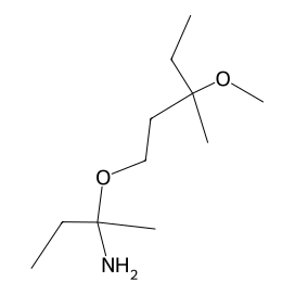 CCC(C)(N)OCCC(C)(CC)OC